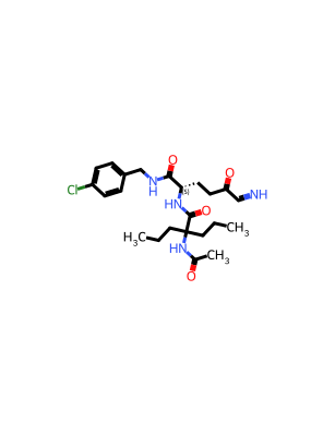 CCCC(CCC)(NC(C)=O)C(=O)N[C@@H](CCC(=O)C=N)C(=O)NCc1ccc(Cl)cc1